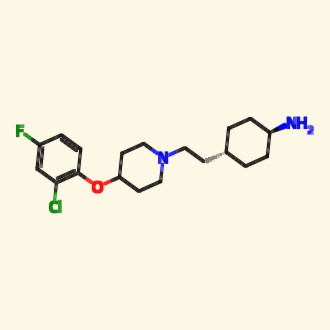 N[C@H]1CC[C@H](CCN2CCC(Oc3ccc(F)cc3Cl)CC2)CC1